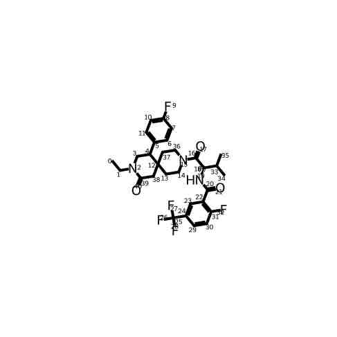 CCN1CC(c2ccc(F)cc2)C2(CCN(C(=O)[C@H](NC(=O)c3cc(C(F)(F)F)ccc3F)C(C)C)CC2)CC1=O